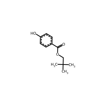 CC(C)(C)COC(=O)c1ccc(O)cc1